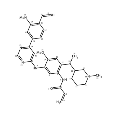 C=CC(=O)Nc1cc(Nc2cc(-c3ccc(C=N)c(NC)c3)ncn2)c(OC)cc1N(C)C1CCCN(C)C1